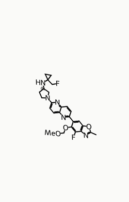 COCOc1c(-c2ccc3nc(N4CC[C@@H](NC5(CF)CC5)C4)ccc3n2)cc2oc(C)nc2c1F